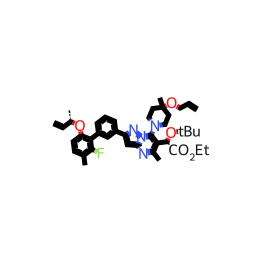 C=CCOC1(C)CCN(c2c([C@H](OC(C)(C)C)C(=O)OCC)c(C)nc3cc(-c4cccc(-c5c(O[C@@H](C)C=C)ccc(C)c5F)c4)nn23)CC1